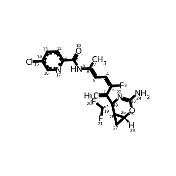 C=C(/C(F)=C\C=C(/C)NC(=O)c1ccc(Cl)cn1)[C@@]1(C(F)F)N=C(N)O[C@@H]2CC21